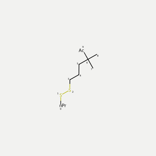 CCCSSCCCC(C)(C)C(C)=O